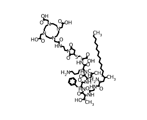 CCCCCCCCCCCCCCC(C)C[C@@H](N)C(=O)NCC(=O)N[C@@H](C(=O)N[C@H](Cc1ccccc1)C(=O)N[C@H](CC(C)C)C(=O)N[C@H](CCCCN)C(=O)N[C@H](CSC1CC(=O)N(CCNC(=O)CN2CCN(CC(=O)O)CCN(CC(=O)O)CCN(CC(=O)O)CC2)C1=O)C(=O)O)[C@@H](C)O